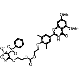 COc1cc(OC)c2c(=O)[nH]c(-c3cc(C)c(OCCOC(=O)OCCOc4no[n+]([O-])c4S(=O)(=O)c4ccccc4)c(C)c3)nc2c1